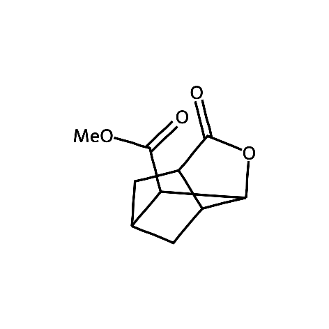 COC(=O)C1C2CC3C(=O)OC1C3C2